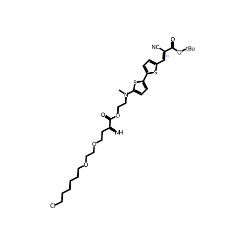 CN(CCOC(=O)C(=N)CCOCCOCCCCCCCl)c1ccc(-c2ccc(/C=C(\C#N)C(=O)OC(C)(C)C)s2)s1